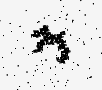 CC(C)NC(=O)O[C@H]1C[C@@H](c2cc(Nc3nc(C4CCNCC4)cn4nccc34)[n+](-[n+]3ccc(-c4cnc(Nc5cc([C@@H]6OC[C@H](OC(=O)NC7(C)CC7)[C@H]6F)[nH]n5)n5cc(C#N)nc45)n3C3CC3)[nH]2)C[C@H]1F